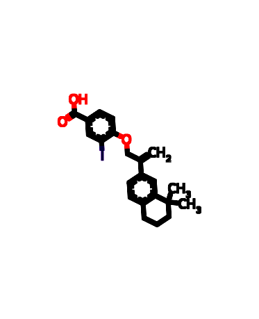 C=C(COc1ccc(C(=O)O)cc1I)c1ccc2c(c1)C(C)(C)CCC2